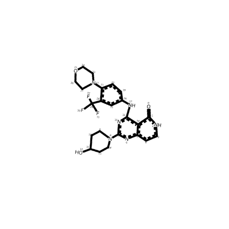 O=c1[nH]ccc2nc(N3CCC(O)CC3)nc(Nc3ccc(N4CCOCC4)c(C(F)(F)F)c3)c12